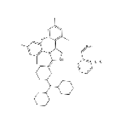 Cc1cc(C)c(C2CNC(=C3CCCC(P(C4CCCCC4)C4CCCCC4)C3)N2c2c(C)cc(C)cc2C)c(C)c1.[Cl-].[Cl-].[Ru+2]=[CH]c1ccccc1